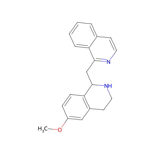 COc1ccc2c(c1)CCNC2Cc1nccc2ccccc12